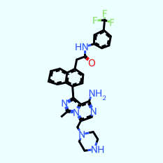 Cc1nc(-c2ccc(CC(=O)Nc3cccc(C(F)(F)F)c3)c3ccccc23)c2c(N)ncc(CN3CCNCC3)n12